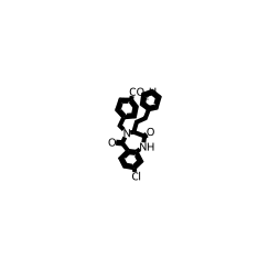 O=C(O)c1ccc(CN2C(=O)c3ccc(Cl)cc3NC(=O)C2CCc2ccccc2)cc1